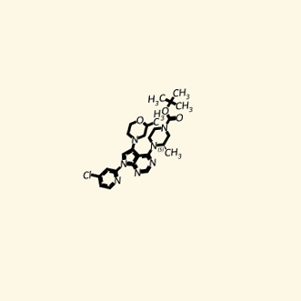 CC1CN(c2cn(-c3cc(Cl)ccn3)c3ncnc(N4CCN(C(=O)OC(C)(C)C)C[C@@H]4C)c23)CCO1